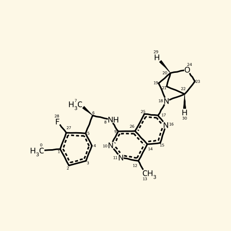 Cc1cccc([C@@H](C)Nc2nnc(C)c3cnc(N4C[C@H]5C[C@@H]4CO5)cc23)c1F